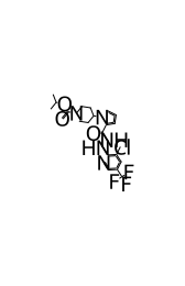 CC(C)OC(=O)N1CCC(n2cccc2C(=O)NNc2ncc(C(F)(F)F)cc2Cl)CC1